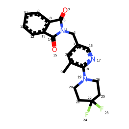 Cc1cc(CN2C(=O)c3ccccc3C2=O)cnc1N1CCC(F)(F)CC1